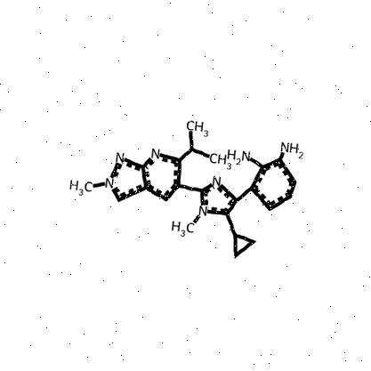 CC(C)c1nc2nn(C)cc2cc1-c1nc(-c2cccc(N)c2N)c(C2CC2)n1C